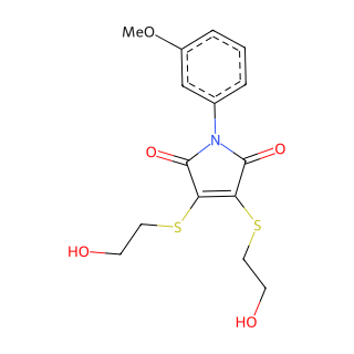 COc1cccc(N2C(=O)C(SCCO)=C(SCCO)C2=O)c1